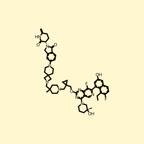 C=C1CC[C@H](N2Cc3cc(N4CCC5(CC4)CN(CC4(C)CCN(CC6(COc7nc(N8CCC[C@@](C)(O)C8)c8cnc(-c9cc(O)cc%10ccc(F)c(CC)c9%10)c(F)c8n7)CC6)CC4)C5)ccc3C2=O)C(=O)N1